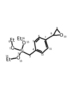 CCO[Si](Cc1ccc(C2CO2)cc1)(OCC)OCC